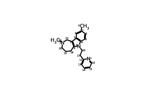 Cc1ccc2c(c1)c1c(n2CCc2ccccn2)CCCN(C)C1